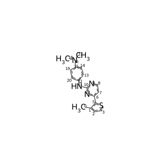 Cc1ccsc1-c1ccnc(Nc2ccc(N(C)C)cc2)n1